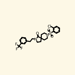 O=C1N(CCc2cccc(C(F)(F)F)c2)CCC12CCN(S(=O)(=O)c1ccccc1Cl)CC2